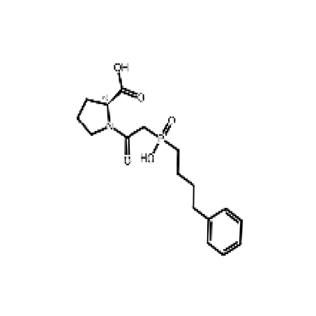 O=C(O)[C@@H]1CCCN1C(=O)CP(=O)(O)CCCCc1ccccc1